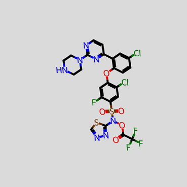 O=C(ON(c1nncs1)S(=O)(=O)c1cc(Cl)c(Oc2ccc(Cl)cc2-c2ccnc(N3CCNCC3)n2)cc1F)C(F)(F)F